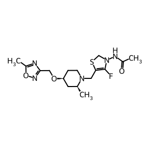 CC(=O)NN1CSC(CN2CC[C@H](OCc3noc(C)n3)C[C@@H]2C)=C1F